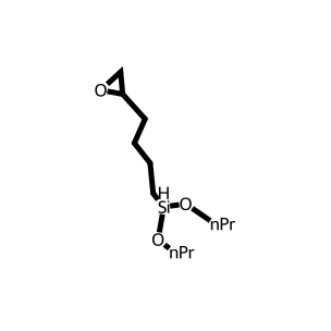 CCCO[SiH](CCCCC1CO1)OCCC